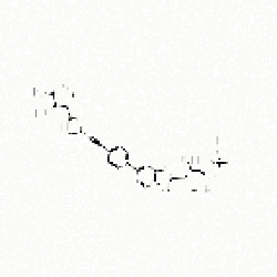 CC[C@@H](C(=N)C(=O)O)c1ncc(C#Cc2ccc(-c3ccc4nc([C@@H](CC)C(=N)C(=O)OC(C)(C)C)[nH]c4c3)cc2)[nH]1